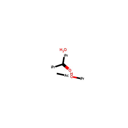 CC(C)=O.CC(C)C(=O)C(C)C.CC(C)O.O